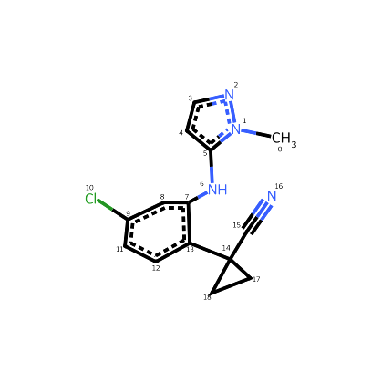 Cn1nccc1Nc1cc(Cl)ccc1C1(C#N)CC1